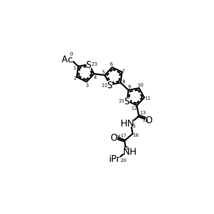 CC(=O)c1ccc(-c2ccc(-c3ccc(C(=O)NCC(=O)NC(C)C)s3)s2)s1